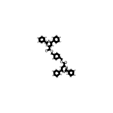 O=C(OCc1ccc(COC(=O)c2cc(-c3ccccc3)nc(-c3ccccc3)n2)cc1)c1cc(-c2ccccc2)nc(-c2ccccc2)n1